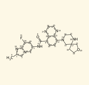 Cc1cn2cc(NC(=O)c3ccc(N4CCNC5(CCOC5)C4)c4nccnc34)cc(F)c2n1